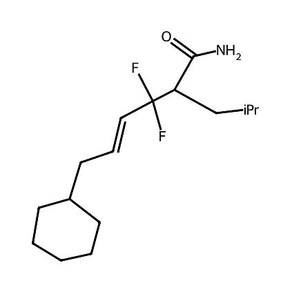 CC(C)CC(C(N)=O)C(F)(F)/C=C/CC1CCCCC1